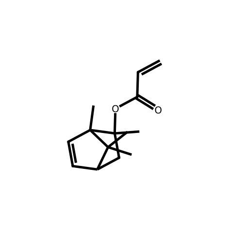 C=CC(=O)OC1(C)CC2C=CC1(C)C2(C)C